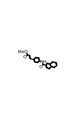 COC(=O)/C=C/c1ccc(NC(=O)c2ccc3ccccc3c2)cc1